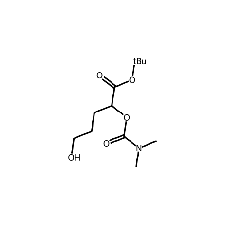 CN(C)C(=O)OC(CCCO)C(=O)OC(C)(C)C